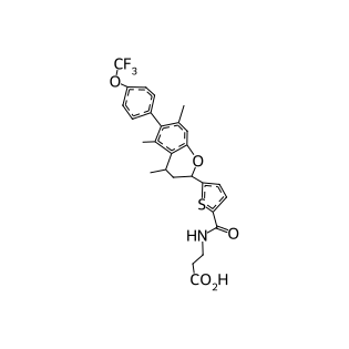 Cc1cc2c(c(C)c1-c1ccc(OC(F)(F)F)cc1)C(C)CC(c1ccc(C(=O)NCCC(=O)O)s1)O2